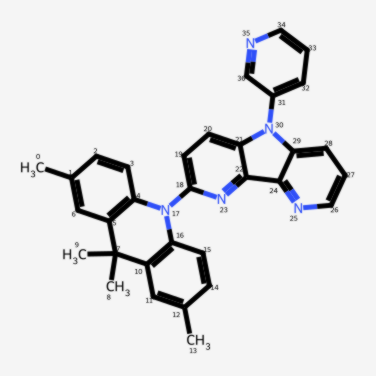 Cc1ccc2c(c1)C(C)(C)c1cc(C)ccc1N2c1ccc2c(n1)c1ncccc1n2-c1cccnc1